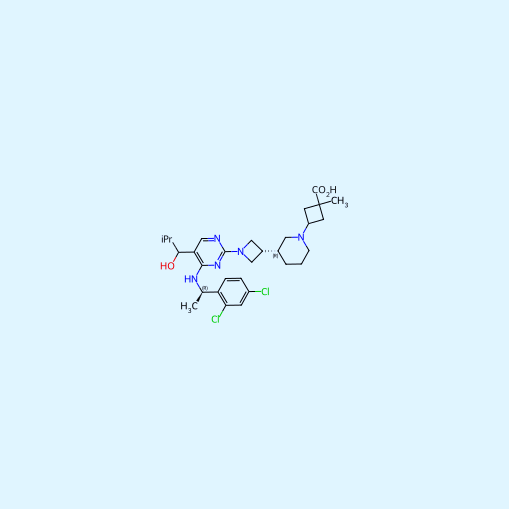 CC(C)C(O)c1cnc(N2CC([C@H]3CCCN(C4CC(C)(C(=O)O)C4)C3)C2)nc1N[C@H](C)c1ccc(Cl)cc1Cl